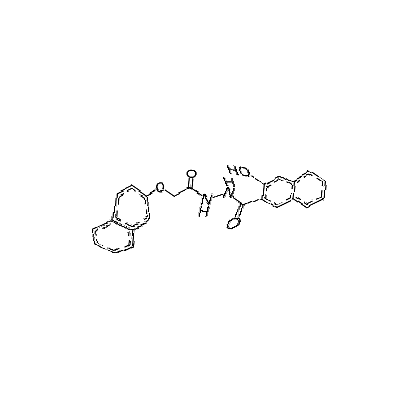 O=C(COc1ccc2ccccc2c1)NNC(=O)c1cc2ccccc2cc1O